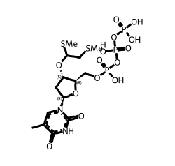 CSCC(O[C@H]1C[C@H](n2cc(C)c(=O)[nH]c2=O)O[C@@H]1COP(=O)(O)OP(=O)(O)OP(=O)(O)O)SC